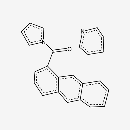 O=C(c1cccc2cc3ccccc3cc12)n1cccc1.c1ccncc1